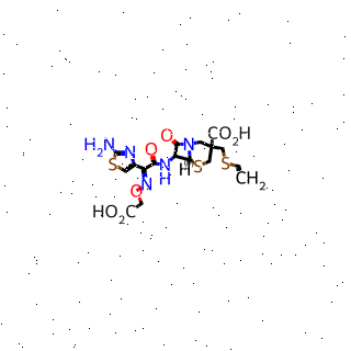 C=CSCC1(C(=O)O)CS[C@@H]2C(NC(=O)C(=NOCC(=O)O)c3csc(N)n3)C(=O)N2C1